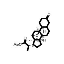 COC(=O)C(C)[C@H]1CC[C@H]2[C@@H]3CCC4CC(=O)CC[C@]4(C)[C@@]3(O)CC[C@]12C